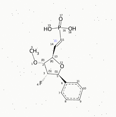 CO[C@H]1[C@@H](F)[C@H](c2ccccc2)O[C@@H]1/C=C/P(=O)(O)O